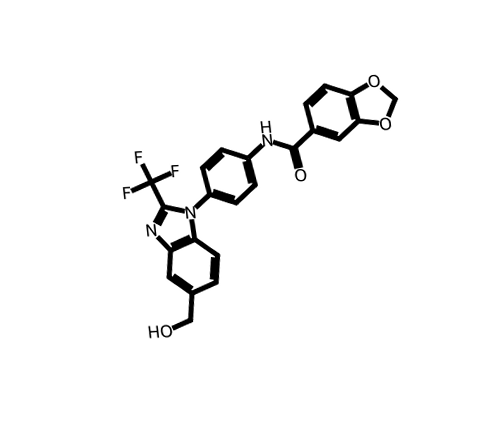 O=C(Nc1ccc(-n2c(C(F)(F)F)nc3cc(CO)ccc32)cc1)c1ccc2c(c1)OCO2